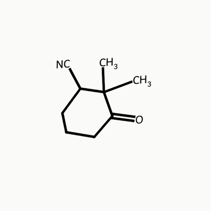 CC1(C)C(=O)CCCC1C#N